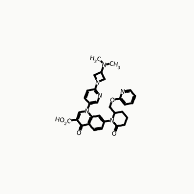 CN(C)C1CN(c2ccc(-n3cc(C(=O)O)c(=O)c4ccc(N5C(=O)CCCC5COc5ccccn5)cc43)cn2)C1